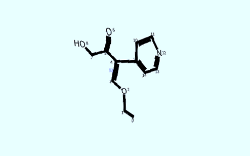 CCO/C=C(/C(=O)CO)c1ccncc1